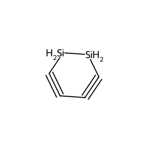 C1#C[SiH2][SiH2]C#C1